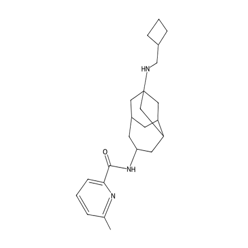 Cc1cccc(C(=O)NC2CC3CC4CC(NCC5CCC5)(C3)CC4C2)n1